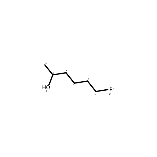 CC(C)CCCCC(C)O